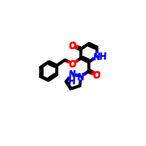 O=C(c1[nH]ccc(=O)c1OCc1ccccc1)N1CCCN1